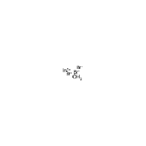 O.[Br-].[Br-].[Br-].[In+3]